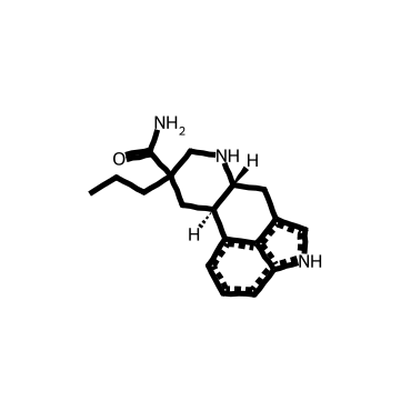 CCCC1(C(N)=O)CN[C@@H]2Cc3c[nH]c4cccc(c34)[C@H]2C1